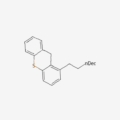 CCCCCCCCCCCCc1cccc2c1Cc1ccccc1S2